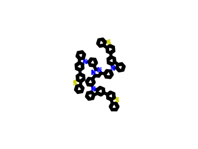 c1cc(-c2cc(-c3cccc(-n4c5ccccc5c5cc(-c6ccc7sc8ccccc8c7c6)ccc54)c3)nc(-c3cccc(-n4c5ccccc5c5ccc(-c6ccc7c(c6)sc6ccccc67)cc54)c3)n2)cc(-n2c3ccccc3c3cc(-c4ccc5sc6ccccc6c5c4)ccc32)c1